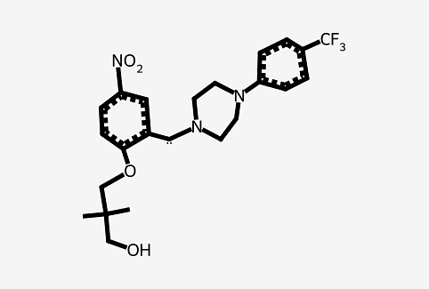 CC(C)(CO)COc1ccc([N+](=O)[O-])cc1[C]N1CCN(c2ccc(C(F)(F)F)cc2)CC1